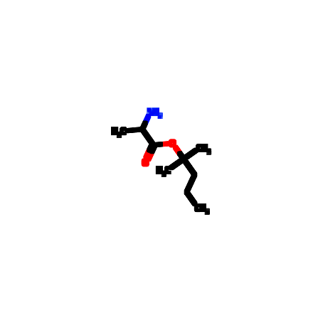 CCCC(C)(C)OC(=O)C(C)N